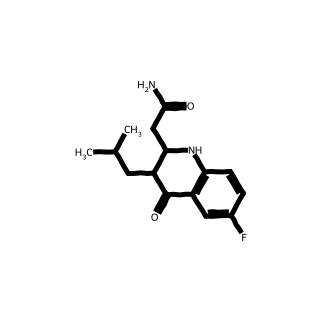 CC(C)CC1C(=O)c2cc(F)ccc2NC1CC(N)=O